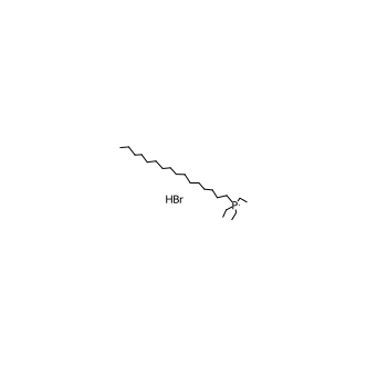 Br.CCCCCCCCCCCCCCCC[P](CC)(CC)CC